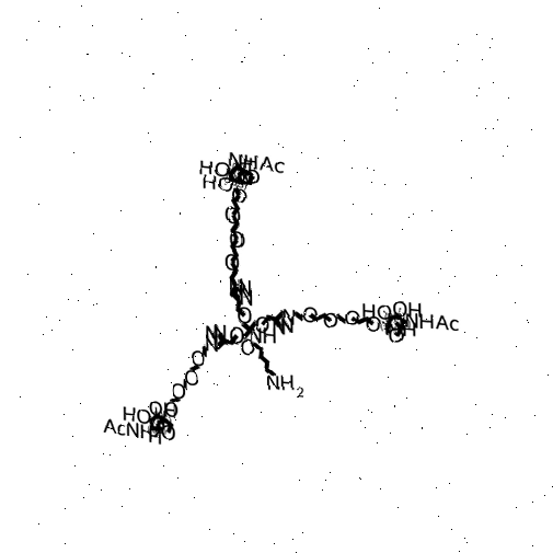 CC(=O)N[C@H]1[C@H]2OC[C@](COCCOCCOCCOCCn3cc(COCC(COCc4cn(CCOCCOCCOCCOC[C@@]56CO[C@@H](O5)[C@H](NC(C)=O)[C@@H](O)[C@H]6O)nn4)(COCc4cn(CCOCCOCCOCCOC[C@@]56CO[C@@H](O5)[C@H](NC(C)=O)[C@@H](O)[C@H]6O)nn4)NC(=O)CCCCCN)nn3)(O2)[C@H](O)[C@@H]1O